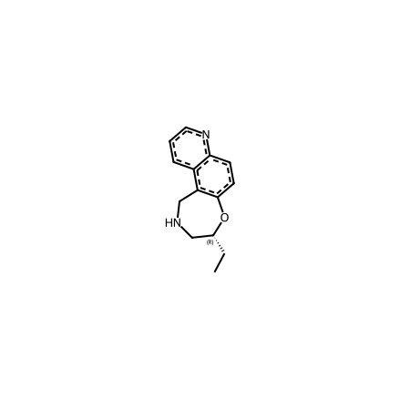 CC[C@@H]1CNCc2c(ccc3ncccc23)O1